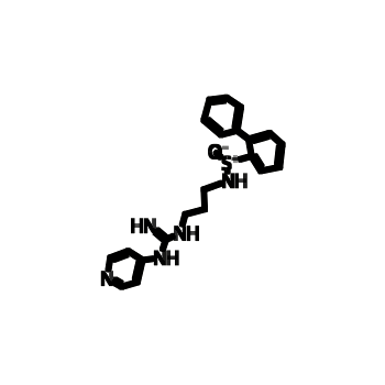 N=C(NCCCN[S+]([O-])c1ccccc1-c1ccccc1)Nc1ccncc1